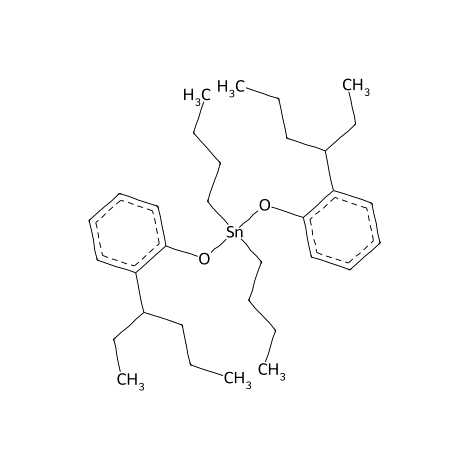 CCC[CH2][Sn]([CH2]CCC)([O]c1ccccc1C(CC)CCC)[O]c1ccccc1C(CC)CCC